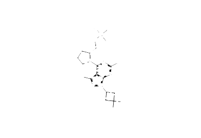 Cc1nn(C2CC(F)(F)C2)c2nc(Cl)nc(N3CCC[C@H]3CO[Si](C)(C)C(C)(C)C)c12